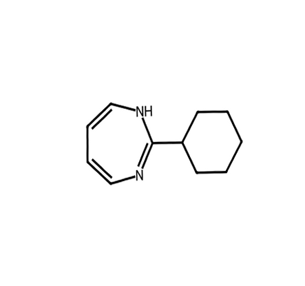 C1=CN=C(C2CCCCC2)NC=C1